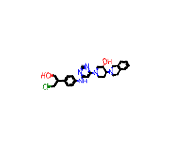 OCC(CCl)c1ccc(Nc2cc(N3CCC(N4CCc5ccccc5C4)[C@@H](O)C3)ncn2)cc1